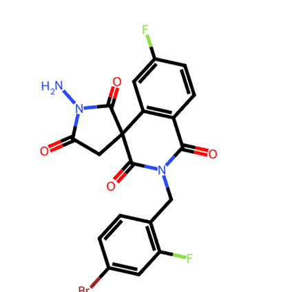 NN1C(=O)CC2(C1=O)C(=O)N(Cc1ccc(Br)cc1F)C(=O)c1ccc(F)cc12